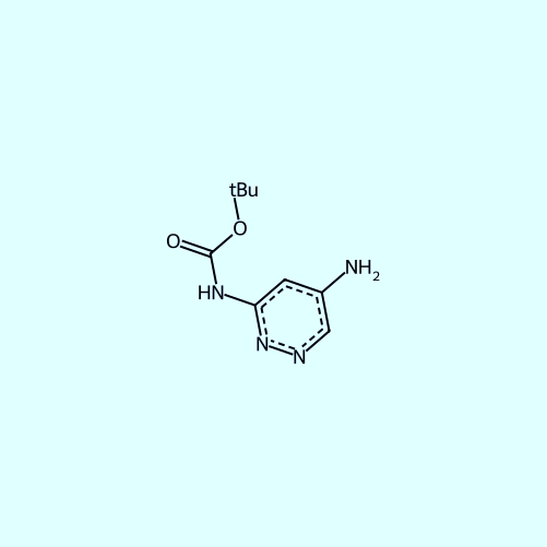 CC(C)(C)OC(=O)Nc1cc(N)cnn1